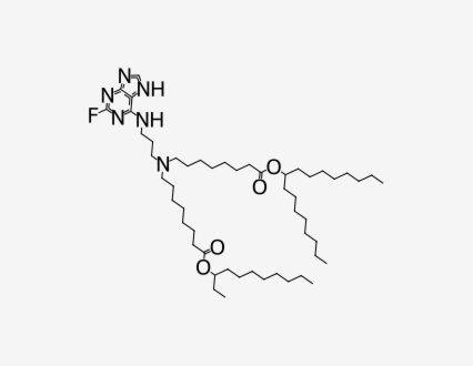 CCCCCCCCC(CC)OC(=O)CCCCCCCN(CCCCCCCC(=O)OC(CCCCCCCC)CCCCCCCC)CCCNc1nc(F)nc2nc[nH]c12